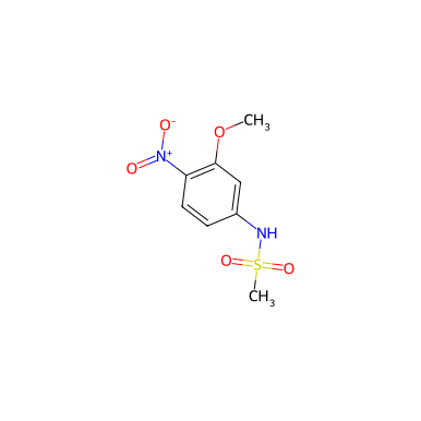 COc1cc(NS(C)(=O)=O)ccc1[N+](=O)[O-]